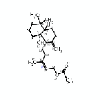 C=C1CC[C@H]2C(C)(C)CCC[C@]2(C)[C@H]1CC/C(C)=C\COC(C)=O